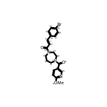 COc1ccc(C(=O)N2CCCN(C(=O)/C=C/c3ccc(Br)cc3)CC2)cn1